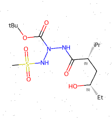 CC[C@H](O)C[C@H](C(=O)NN(NS(C)(=O)=O)C(=O)OC(C)(C)C)C(C)C